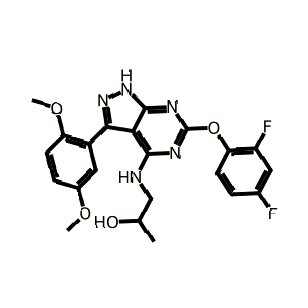 COc1ccc(OC)c(-c2n[nH]c3nc(Oc4ccc(F)cc4F)nc(NCC(C)O)c23)c1